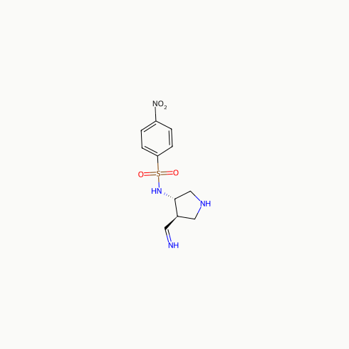 N=C[C@@H]1CNC[C@H]1NS(=O)(=O)c1ccc([N+](=O)[O-])cc1